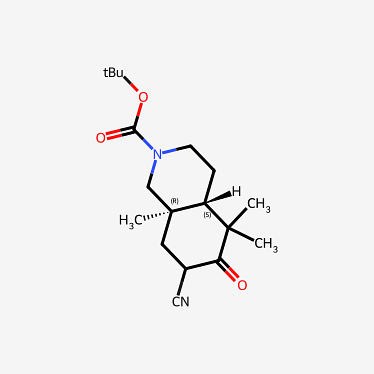 CC(C)(C)OC(=O)N1CC[C@@H]2C(C)(C)C(=O)C(C#N)C[C@@]2(C)C1